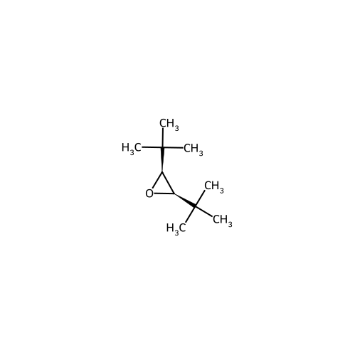 CC(C)(C)[C@@H]1O[C@@H]1C(C)(C)C